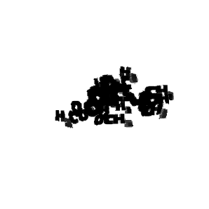 CCC(O)(CC)CCS[C@H](C)[C@H]1CC[C@H]2C3=CC=C4C[C@@H](OC(C)=O)C[C@H](OC(C)=O)[C@]4(C)[C@H]3CC[C@]12C